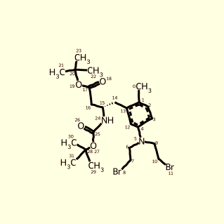 Cc1ccc(N(CCBr)CCBr)cc1C[C@@H](CC(=O)OC(C)(C)C)NC(=O)OC(C)(C)C